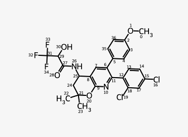 COc1ccc(-c2cc3c(nc2-c2ccc(Cl)cc2Cl)OC(C)(C)CC3NC(=O)C(O)C(F)(F)F)cc1